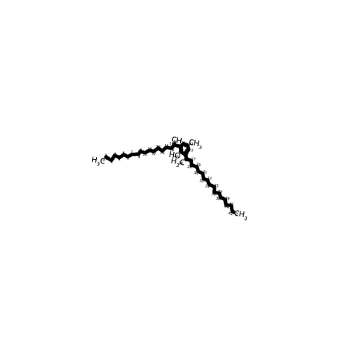 CCCCCCCCCCCCCCCCCC(C)c1cc(C)cc(C(C)CCCCCCCCCCCCCCCCC)c1O